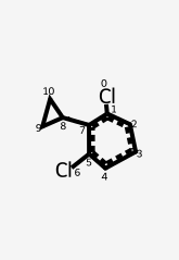 Clc1cccc(Cl)c1[C]1CC1